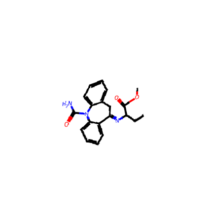 CCC(/N=C1\Cc2ccccc2N(C(N)=O)c2ccccc21)C(=O)OC